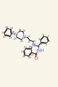 O=C1NC(c2ccccc2)N(CCCN2CCN(c3ccccc3)CC2)c2ccccc21